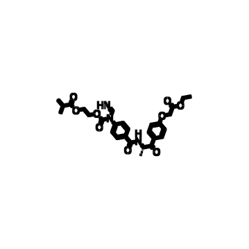 CCOC(=O)COc1ccc(C(=O)[C@H](C)NC(=O)c2ccc(N(C=N)C(=O)OCCOC(=O)C(C)C)cc2)cc1